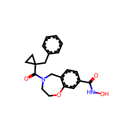 O=C(NO)c1ccc2c(c1)OCCN(C(=O)C1(Cc3ccccc3)CC1)C2